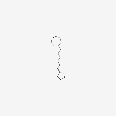 [C]1CCCCCC1CCCCCC=C1CCCC1